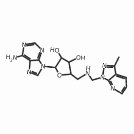 Cc1nn(CNCC2OC(n3cnc4c(N)ncnc43)C(O)C2O)c2ncccc12